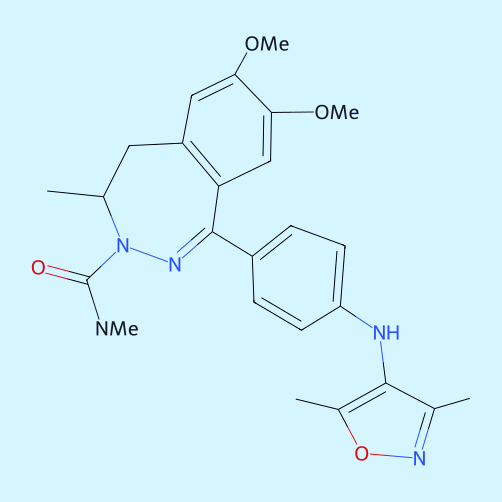 CNC(=O)N1N=C(c2ccc(Nc3c(C)noc3C)cc2)c2cc(OC)c(OC)cc2CC1C